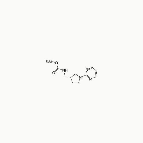 CC(C)(C)OC(=O)NC[C@H]1CCN(c2ncccn2)C1